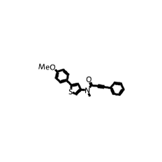 COc1ccc(-c2cc(N(C)C(=O)C#Cc3ccccc3)cs2)cc1